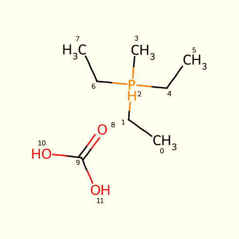 CC[PH](C)(CC)CC.O=C(O)O